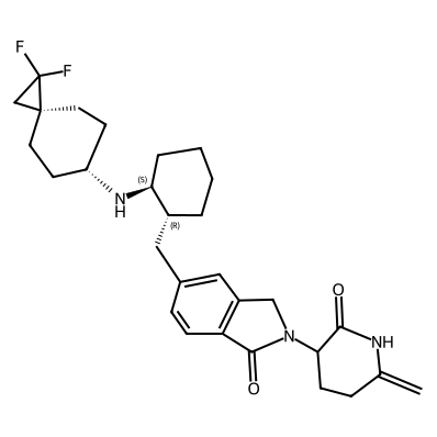 C=C1CCC(N2Cc3cc(C[C@H]4CCCC[C@@H]4N[C@H]4CC[C@]5(CC4)CC5(F)F)ccc3C2=O)C(=O)N1